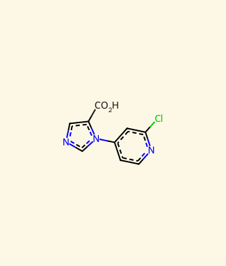 O=C(O)c1cncn1-c1ccnc(Cl)c1